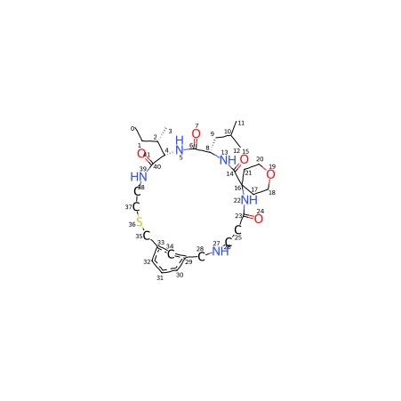 CC[C@H](C)[C@@H]1NC(=O)[C@H](CC(C)C)NC(=O)C2(CCOCC2)NC(=O)CCNCc2cccc(c2)CSCCNC1=O